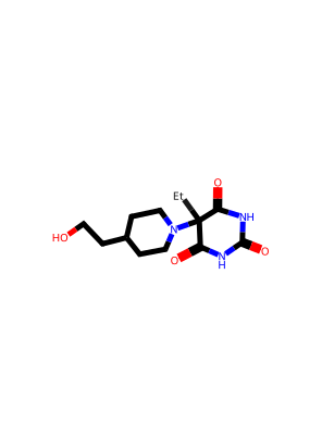 CCC1(N2CCC(CCO)CC2)C(=O)NC(=O)NC1=O